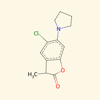 CC1C(=O)Oc2cc(N3CCCC3)c(Cl)cc21